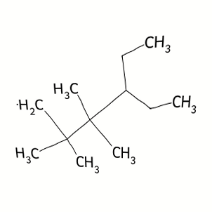 [CH2]C(C)(C)C(C)(C)C(CC)CC